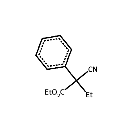 CCOC(=O)C(C#N)(CC)c1ccccc1